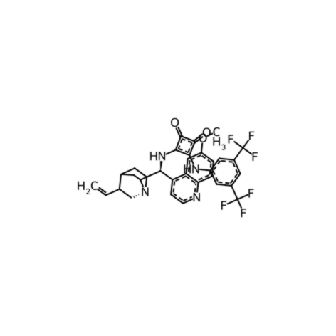 C=CC1C[N@@]2CCC1CC2[C@@H](Nc1c(Nc2cc(C(F)(F)F)cc(C(F)(F)F)c2)c(=O)c1=O)c1ccnc2ccc(OC)cc12